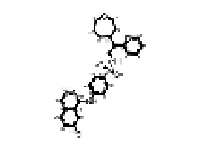 O=S(=O)(NCC(c1ccccn1)C1CCCOCC1)c1ccc(Nc2nccc3ccc(Cl)cc23)cc1